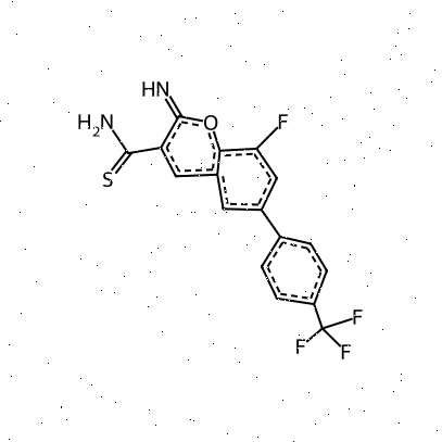 N=c1oc2c(F)cc(-c3ccc(C(F)(F)F)cc3)cc2cc1C(N)=S